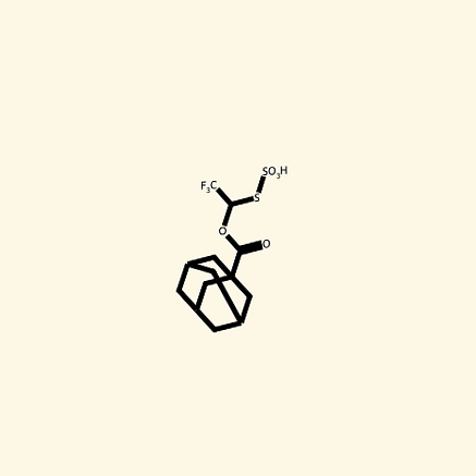 O=C(OC(SS(=O)(=O)O)C(F)(F)F)C12CC3CC(CC(C3)C1)C2